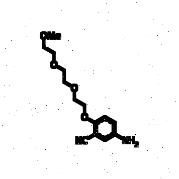 COCCOCCOCCOc1ccc(N)cc1C#N